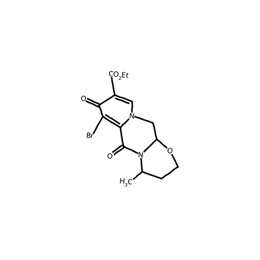 CCOC(=O)c1cn2c(c(Br)c1=O)C(=O)N1C(C)CCOC1C2